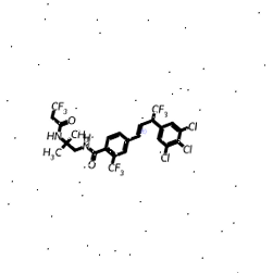 CC(C)(CNC(=O)c1ccc(/C=C/C(c2cc(Cl)c(Cl)c(Cl)c2)C(F)(F)F)cc1C(F)(F)F)NC(=O)CC(F)(F)F